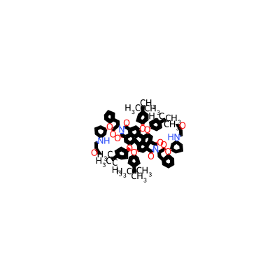 CC(C)(C)c1ccc(Oc2cc3c4c(cc(Oc5ccc(C(C)(C)C)cc5)c5c6c(Oc7ccc(C(C)(C)C)cc7)cc7c8c(cc(Oc9ccc(C(C)(C)C)cc9)c(c2c45)c86)C(=O)N(C(Cc2ccccc2)C(=O)OC2CCCC(NCC4CO4)C2)C7=O)C(=O)N(C(Cc2ccccc2)C(=O)OC2CCCC(NCC4CO4)C2)C3=O)cc1